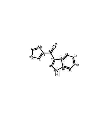 O=C(c1cscn1)c1c[nH]c2ccccc12